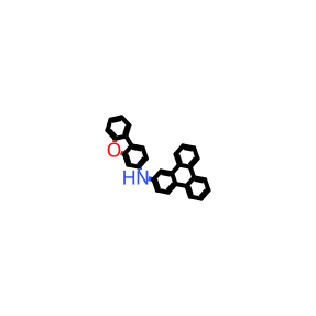 c1ccc2c(c1)oc1cc(Nc3ccc4c5ccccc5c5ccccc5c4c3)ccc12